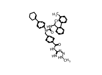 CN/N=N\C(=N)NC(=O)c1ccc(CN(C(=O)NC(C)c2ccccc2-c2cccc(C)c2)c2ccc(C3=CCCCC3)cc2)cc1